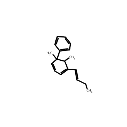 CCC=CC1=CC=CC(C)(c2ccccc2)C1C